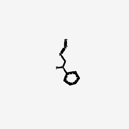 [N-]=[N+]=NCN(F)c1ccccc1